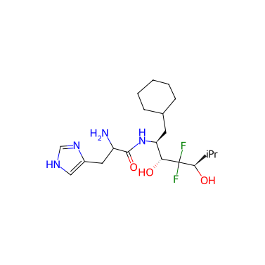 CC(C)[C@@H](O)C(F)(F)[C@H](O)[C@H](CC1CCCCC1)NC(=O)C(N)Cc1c[nH]cn1